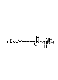 CCCCCCCCCCCCCCCCCCCCCC(=O)NCCCCNC(=N)N